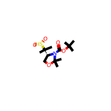 CC(C)(C)OC(=O)N1[C@@H](C(C)(C)[SH](=O)=O)COC1(C)C